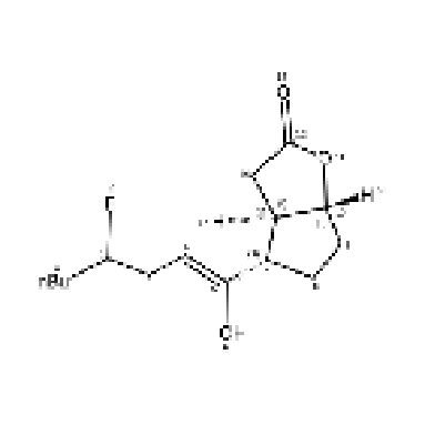 CCCCC(F)CC=C(O)[C@H]1CC[C@H]2OC(=O)C[C@H]12